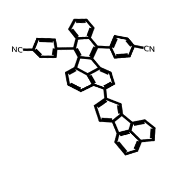 N#Cc1ccc(-c2c3c(c(-c4ccc(C#N)cc4)c4ccccc24)-c2ccc(-c4ccc5c(c4)-c4cccc6cccc-5c46)c4cccc-3c24)cc1